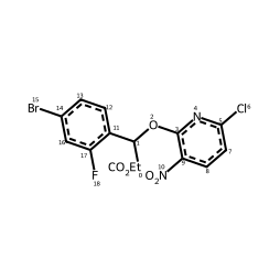 CCOC(=O)C(Oc1nc(Cl)ccc1[N+](=O)[O-])c1ccc(Br)cc1F